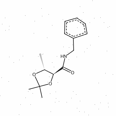 C[C@H]1OC(C)(C)O[C@@H]1C(=O)NCc1ccccc1